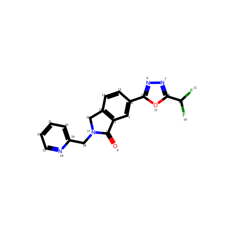 O=C1c2cc(-c3nnc(C(F)F)o3)ccc2CN1Cc1ccccn1